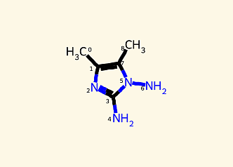 Cc1nc(N)n(N)c1C